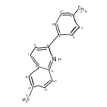 Cc1ccc(-c2ccc3cc(C)ccc3n2)cc1